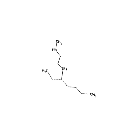 CCCC[C@H](CC)NCCNC